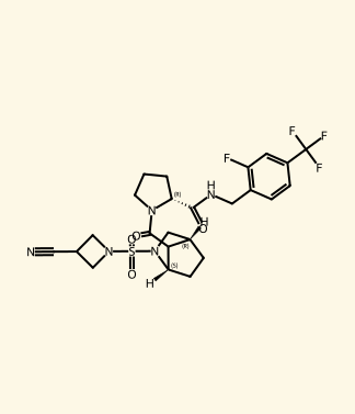 N#CC1CN(S(=O)(=O)N2C[C@@H]3CC[C@H]2C3C(=O)N2CCC[C@@H]2C(=O)NCc2ccc(C(F)(F)F)cc2F)C1